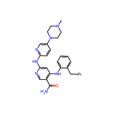 CC(C)Cc1ccccc1Nc1cc(Nc2ccc(N3CCN(C)CC3)cn2)ncc1C(N)=O